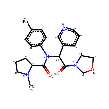 CC(C)(C)c1ccc(N(C(=O)C2CCCN2C#N)C(C(=O)N2CCOC2)c2cccnc2)cc1